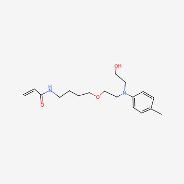 C=CC(=O)NCCCCOCCN(CCO)c1ccc(C)cc1